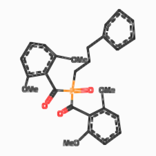 COc1cccc(OC)c1C(=O)P(=O)(CCCc1ccccc1)C(=O)c1c(OC)cccc1OC